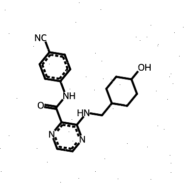 N#Cc1ccc(NC(=O)c2nccnc2NCC2CCC(O)CC2)cc1